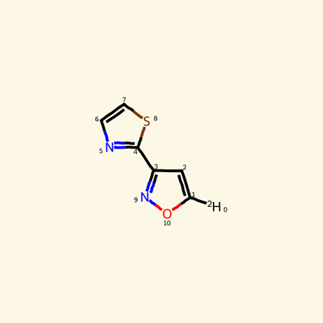 [2H]c1cc(-c2nccs2)no1